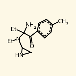 CCN(C1CN1)C(N)(CC)C(=O)c1ccc(C)cc1